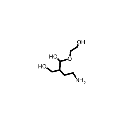 NCCC(CO)C(O)OCCO